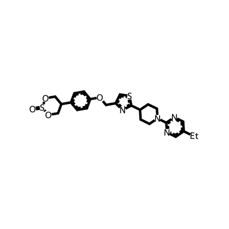 CCc1cnc(N2CCC(c3nc(COc4ccc(C5COS(=O)OC5)cc4)cs3)CC2)nc1